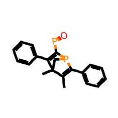 CC1=C(c2ccccc2)P2CC1(C)C(c1ccccc1)=C2P=O